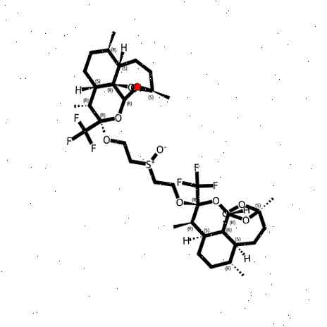 C[C@@H]1CC[C@H]2[C@@H](C)[C@](OCC[S+]([O-])CCO[C@@]3(C(F)(F)F)O[C@@H]4O[C@]5(C)CC[C@H]6[C@H](C)CC[C@@H]([C@H]3C)[C@@]46OO5)(C(F)(F)F)O[C@@H]3O[C@]4(C)CC[C@@H]1[C@]32OO4